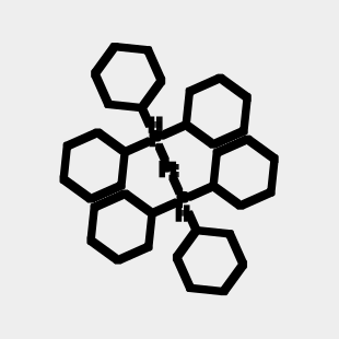 C1CCC([PH]([Pt][PH](C2CCCCC2)(C2CCCCC2)C2CCCCC2)(C2CCCCC2)C2CCCCC2)CC1